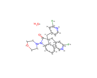 O.O=C1N(N2CCOCC2)c2ccccc2C1(Cc1ccnc(F)c1)Cc1ccnc(F)c1